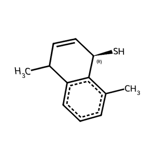 Cc1cccc2c1[C@H](S)C=CC2C